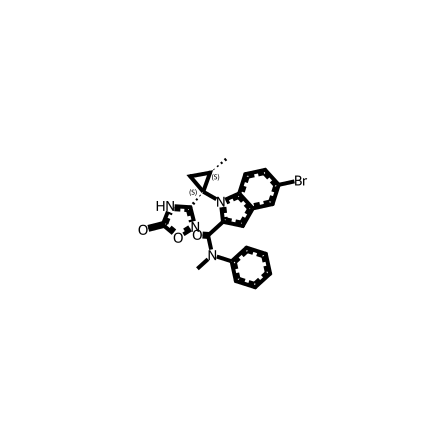 C[C@H]1C[C@]1(c1noc(=O)[nH]1)n1c(C(=O)N(C)c2ccccc2)cc2cc(Br)ccc21